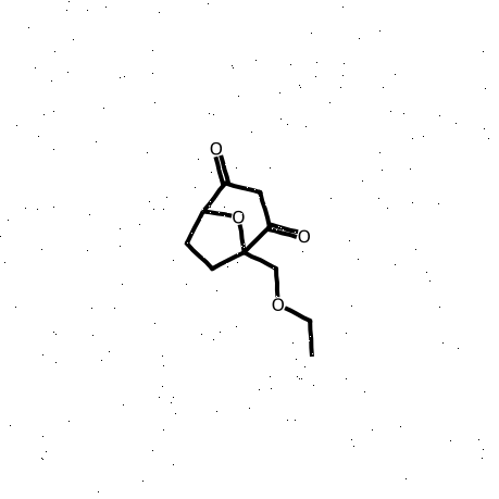 CCOCC12CCC(O1)C(=O)CC2=O